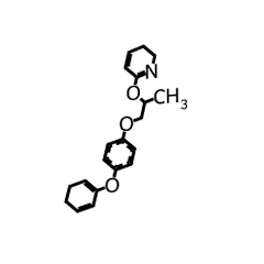 CC(COc1ccc(OC2=CCCC=C2)cc1)OC1=NCCC=C1